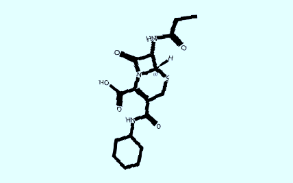 CCC(=O)NC1C(=O)N2C(C(=O)O)=C(C(=O)NC3CCCCC3)CS[C@@H]12